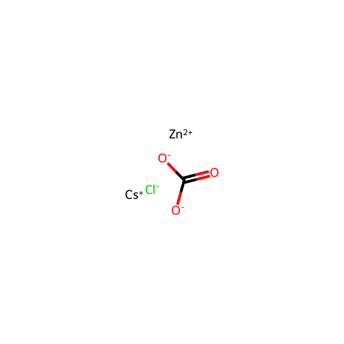 O=C([O-])[O-].[Cl-].[Cs+].[Zn+2]